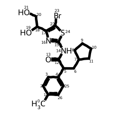 Cc1ccc(C(CC2CCCC2)C(=O)Nc2nc(C(O)CO)c(Br)s2)cc1